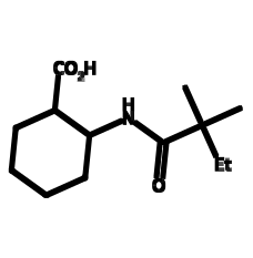 CCC(C)(C)C(=O)NC1CCCCC1C(=O)O